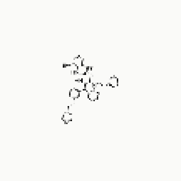 CC(C)c1cccc(C(C)C)c1NC(=O)Nc1c(-c2cccc(OCc3ccncc3)c2)c2cccnc2n(CCc2ccccc2)c1=O